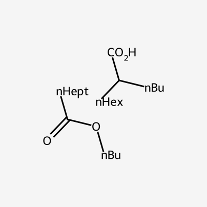 CCCCCCC(CCCC)C(=O)O.CCCCCCCC(=O)OCCCC